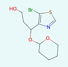 OCCC(OC1CCCCO1)c1ncsc1Br